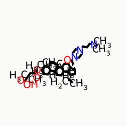 C=C(C)[C@@H]1CC[C@]2(CC(=O)N3CCN(CCCN(C)C)CC3)CC[C@]3(C)[C@H](CC[C@@H]4[C@@]5(C)CC[C@H](OC(=O)CC(C)(C)C(=O)O)C(C)(C)C5CC[C@]43C)[C@@H]12